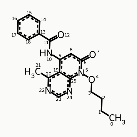 CCCCOn1c(=O)cc(NC(=O)c2ccccc2)c2c(C)ncnc21